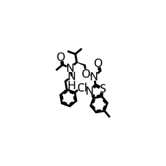 CC(=O)N(NCc1ccccc1Cl)[C@H](CON(C=O)c1nc2ccc(C)cc2s1)C(C)C